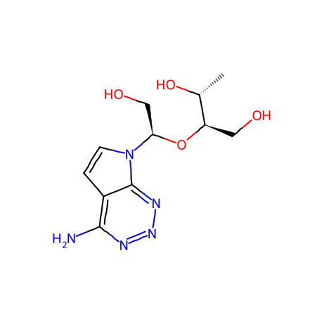 C[C@@H](O)[C@@H](CO)O[C@H](CO)n1ccc2c(N)nnnc21